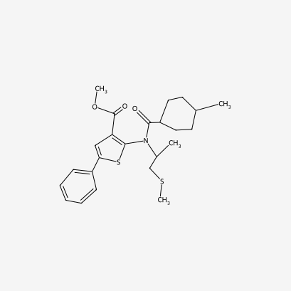 COC(=O)c1cc(-c2ccccc2)sc1N(C(=O)C1CCC(C)CC1)C(C)CSC